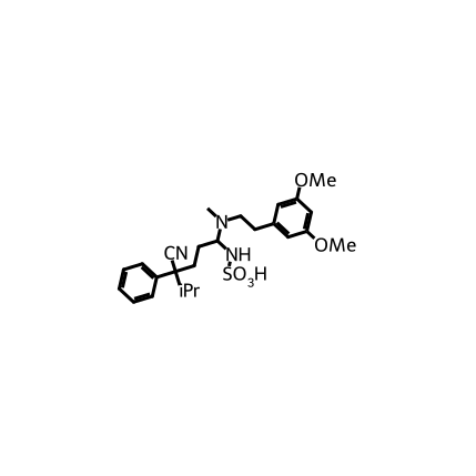 COc1cc(CCN(C)C(CCC(C#N)(c2ccccc2)C(C)C)NS(=O)(=O)O)cc(OC)c1